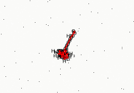 CC(=O)N[C@H](Cc1ccc2ccccc2c1)C(=O)N[C@H](Cc1ccc(Cl)cc1)C(=O)N[C@H](Cc1cccnc1)C(=O)N[C@@H](CO)C(=O)N[C@@H](Cc1ccc(O)cc1)C(=O)N[C@H](CCCCNC(=O)CCOCCOCCOCCOCCOCCOCCOCCOCCNC(=O)CCCCCN1C(=O)C=CC1=O)C(=O)N[C@@H](CC(C)C)C(=O)N[C@@H](CCCNC(N)N)C(=O)N1CCC[C@H]1C(=O)N[C@H](C)C(N)=O